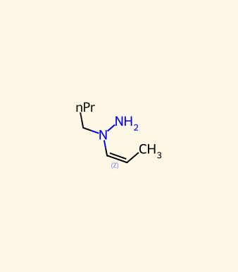 C/C=C\N(N)CCCC